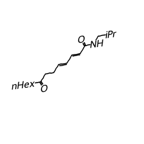 CCCCCCC(=O)CC/C=C/C=C/C(=O)NCC(C)C